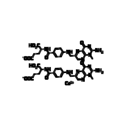 Cn1c(N)nc(=O)c2nc(CNc3ccc(C(=O)NC(CCC(=O)[O-])C(=O)O)cc3)cnc21.Cn1c(N)nc(=O)c2nc(CNc3ccc(C(=O)NC(CCC(=O)[O-])C(=O)O)cc3)cnc21.[Ca+2]